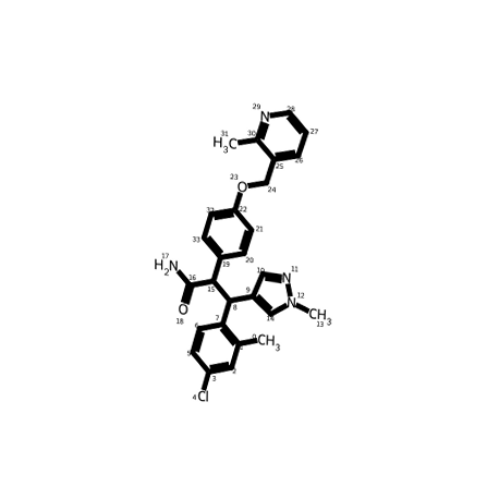 Cc1cc(Cl)ccc1C(c1cnn(C)c1)C(C(N)=O)c1ccc(OCc2cccnc2C)cc1